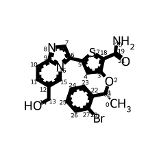 C[C@@H](Oc1cc(-c2cnc3ccc(CO)cn23)sc1C(N)=O)c1ccccc1Br